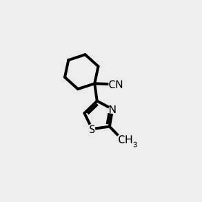 Cc1nc(C2(C#N)CCCCC2)cs1